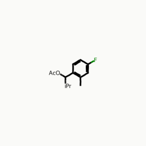 CC(=O)OC(c1ccc(F)cc1C)C(C)C